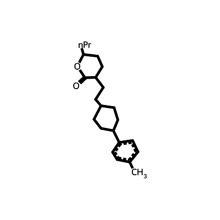 CCCC1CCC(CCC2CCC(c3ccc(C)cc3)CC2)C(=O)O1